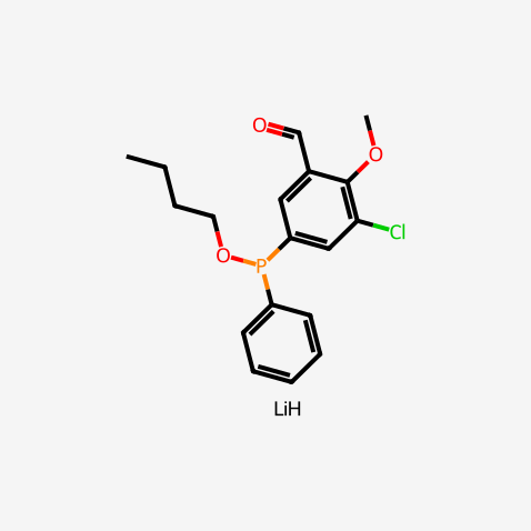 CCCCOP(c1ccccc1)c1cc(Cl)c(OC)c(C=O)c1.[LiH]